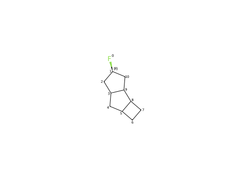 F[C@@H]1CC2CC3CCC3C2C1